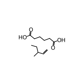 C=CC(C)CC.O=C(O)CCCCC(=O)O